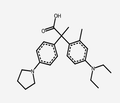 CCN(CC)c1ccc(C(C)(C(=O)O)c2ccc(N3CCCC3)cc2)c(C)c1